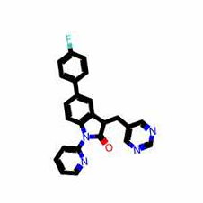 O=C1C(Cc2cncnc2)c2cc(-c3ccc(F)cc3)ccc2N1c1ccccn1